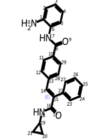 Nc1ccccc1NC(=O)c1ccc(/C=C(/C(=O)NC2CC2)c2ccccc2)cc1